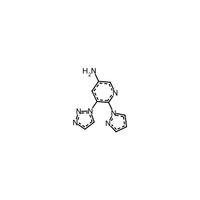 Nc1cnc(-n2cccn2)c(-n2ccnn2)c1